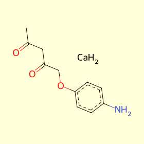 CC(=O)CC(=O)COc1ccc(N)cc1.[CaH2]